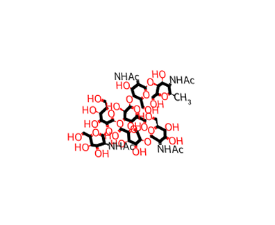 CC(=O)NC1C(O)[C@H](O)[C@H](CO)O[C@H]1O[C@@H]1C(O)[C@H](O)C(CO)O[C@@H]1OCC1O[C@@H](O[C@@H]2C(CO)O[C@@H](O[C@@H]3C(CO)O[C@@H](C)C(NC(C)=O)[C@H]3O)C(NC(C)=O)[C@H]2O)[C@H](O)C(O[C@H]2O[C@H](CO)[C@@H](O)C(O)C2O[C@@H]2OC(CO)[C@@H](O)C(O)[C@@H]2NC(C)=O)[C@@H]1O